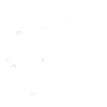 COc1cc2c(NC(C)C)c3c(nc2cc1OCCOCCO)CC(C)C3